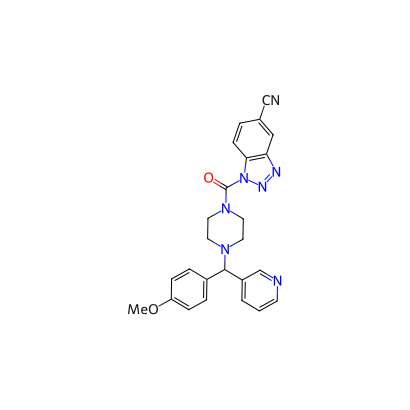 COc1ccc(C(c2cccnc2)N2CCN(C(=O)n3nnc4cc(C#N)ccc43)CC2)cc1